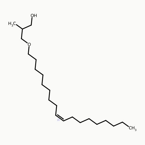 CCCCCCCC/C=C\CCCCCCCCOCC(C)CO